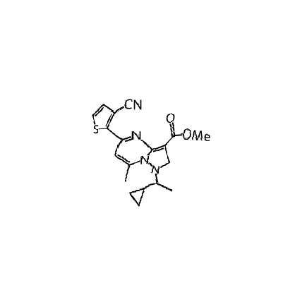 COC(=O)C1=C2N=C(c3sccc3C#N)C=C(C)N2N(C(C)C2CC2)C1